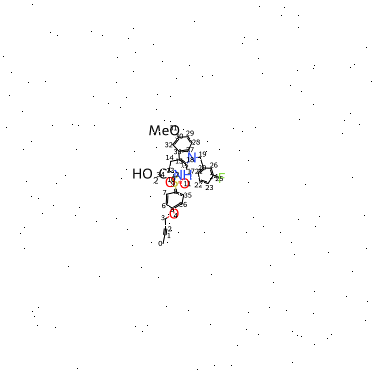 CC#CCOc1ccc(S(=O)(=O)N[C@@H](Cc2c(C)n(Cc3cccc(F)c3)c3ccc(OC)cc23)C(=O)O)cc1